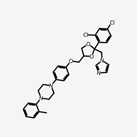 Cc1ccccc1N1CCN(c2ccc(OCC3COC(Cn4ccnc4)(c4ccc(Cl)cc4Cl)O3)cc2)CC1